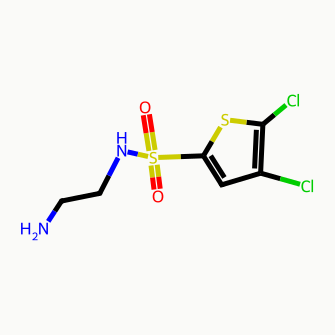 NCCNS(=O)(=O)c1cc(Cl)c(Cl)s1